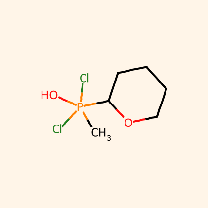 CP(O)(Cl)(Cl)C1CCCCO1